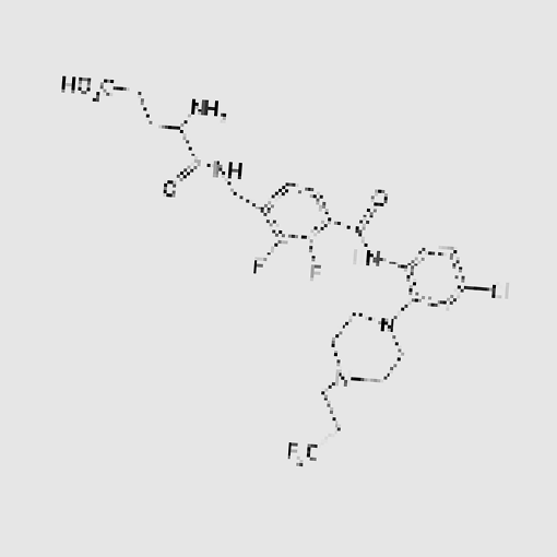 NC(CCC(=O)O)C(=O)NCc1ccc(C(=O)Nc2ccc(Cl)cc2N2CCN(CCC(F)(F)F)CC2)c(F)c1F